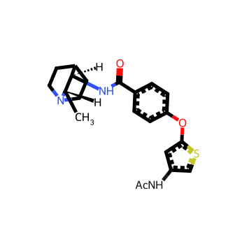 CC(=O)Nc1csc(Oc2ccc(C(=O)N[C@@H]3C4CCN(CC4)[C@H]3C)cc2)c1